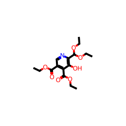 CCOC(=O)c1cnc(C(OCC)OCC)c(O)c1C(=O)OCC